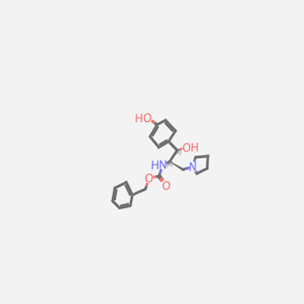 O=C(N[C@H](CN1CCCC1)[C@H](O)c1ccc(O)cc1)OCc1ccccc1